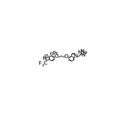 CCCc1c(OCCCOc2cccc3c2ccn3Cc2nnn(C)n2)ccc2c(C(F)(F)F)noc12